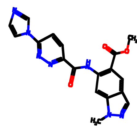 COC(=O)c1cc2cnn(C)c2cc1NC(=O)c1ccc(-n2ccnc2)nn1